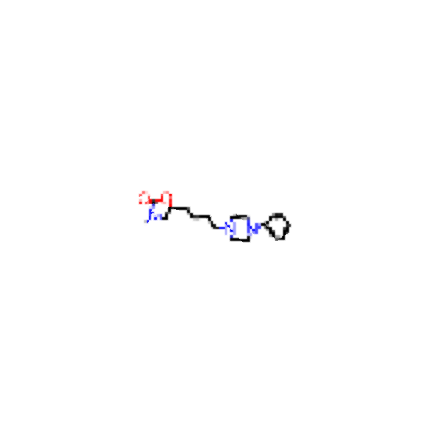 CN1CC(CCCCN2CCN(c3ccccc3)CC2)OC1=O